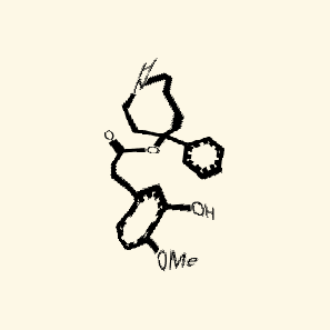 COc1ccc(CC(=O)OC2(c3ccccc3)CCNCC2)cc1O